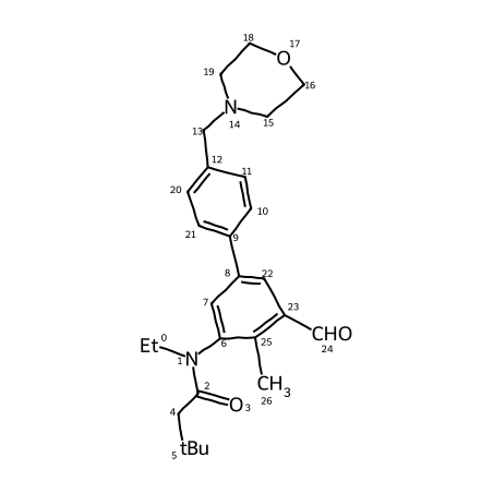 CCN(C(=O)CC(C)(C)C)c1cc(-c2ccc(CN3CCOCC3)cc2)cc(C=O)c1C